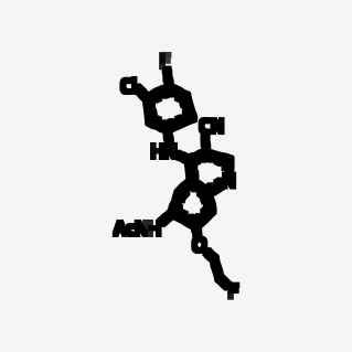 CC(=O)Nc1cc2c(Nc3ccc(F)c(Cl)c3)c(C#N)cnc2cc1OCCF